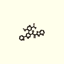 COc1cnc(C(F)F)cc1-c1cc(-c2ccccn2)ncc1C(=O)Nc1nc2ncccc2s1